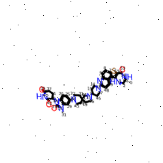 C[C@@H]1CNc2c(sc3ccc4nc(N5CCC(N6CCC7(CCN(c8ccc9c(c8)n(C)c(=O)n9C8CCC(=O)NC8=O)CC7)C6)CC5)ccc4c23)C(=O)N1